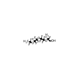 CC(F)(F)OC(F)(F)C(F)(F)OC(F)(F)C(F)(F)OC(C)(F)CO